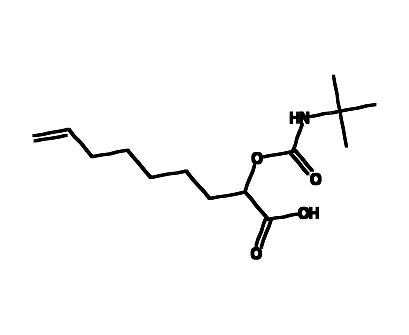 C=CCCCCCC(OC(=O)NC(C)(C)C)C(=O)O